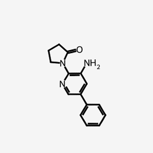 Nc1cc(-c2ccccc2)cnc1N1CCCC1=O